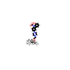 CC(C)(C)[Si](C)(C)OCCN1CCN(c2ccc3c(c2)c2ccccc2n3C(=O)O)CC1